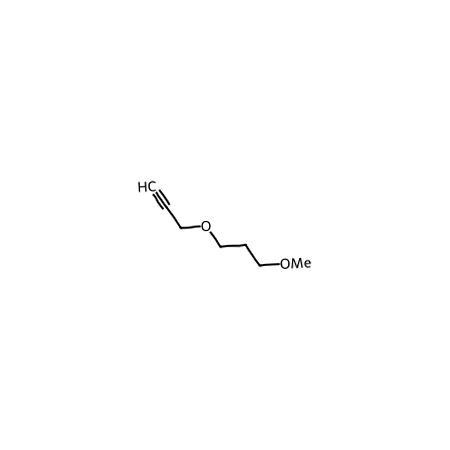 C#CCOCCCOC